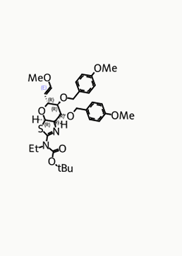 CCN(C(=O)OC(C)(C)C)C1=N[C@@H]2[C@@H](OCc3ccc(OC)cc3)[C@H](OCc3ccc(OC)cc3)[C@@H](/C=C/OC)O[C@@H]2S1